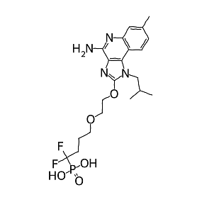 Cc1ccc2c(c1)nc(N)c1nc(OCCOCCCC(F)(F)P(=O)(O)O)n(CC(C)C)c12